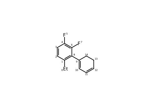 CCc1ccc(F)c(F)c1C1=CC=CCC1